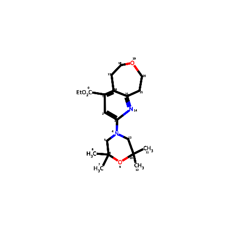 CCOC(=O)c1cc(N2CC(C)(C)OC(C)(C)C2)nc2c1CCOCC2